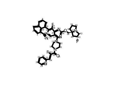 N#Cc1cccc2cccc(-c3ncc4c(N5CCN(C(=O)/C(F)=C/c6ccccn6)CC5)nc(OC[C@@]56CCCN5C[C@H](F)C6)nc4c3F)c12